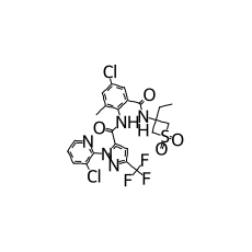 CCC1(NC(=O)c2cc(Cl)cc(C)c2NC(=O)c2cc(C(F)(F)F)nn2-c2ncccc2Cl)CS(=O)(=O)C1